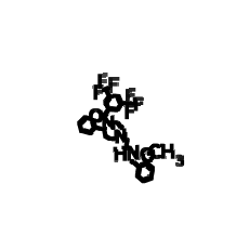 COc1ccccc1CNCCN1CCC(c2ccccc2)N(C(=O)c2cc(C(F)(F)F)cc(C(F)(F)F)c2)CC1